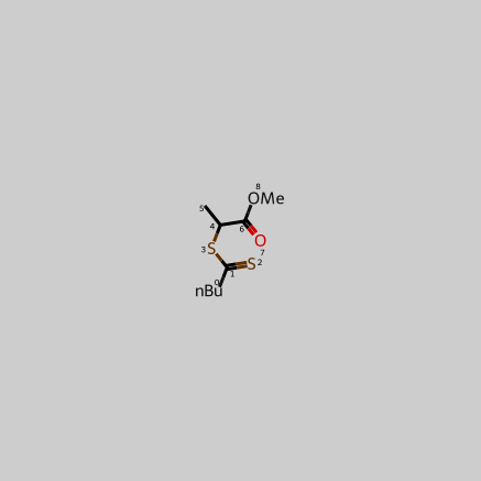 CCCCC(=S)SC(C)C(=O)OC